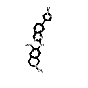 CCn1cc(-c2ccc3cnc(Nc4cc5c(cc4OC)CCN(C)C5)nc3c2)cn1